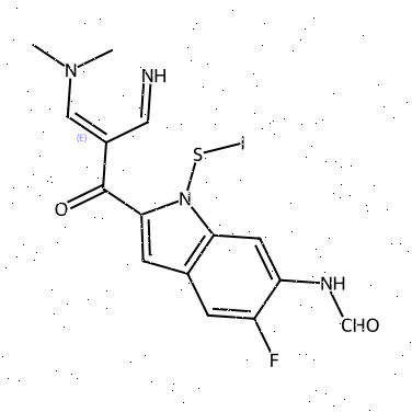 CN(C)/C=C(\C=N)C(=O)c1cc2cc(F)c(NC=O)cc2n1SI